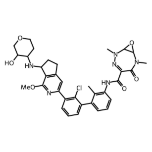 COc1nc(-c2cccc(-c3cccc(NC(=O)C4=NN(C)C5OC5N(C)C4=O)c3C)c2Cl)cc2c1C(NC1CCOCC1O)CC2